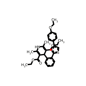 CCOC(=O)C1=C(C)NC(C)=C(C(=O)OCC)C1c1ccccc1-c1nc(-c2ccc(OCC)cc2)cs1